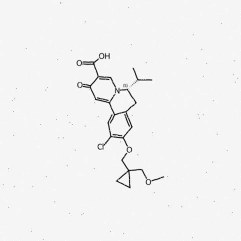 COCC1(COc2cc3c(cc2Cl)-c2cc(=O)c(C(=O)O)cn2[C@H](C(C)C)C3)CC1